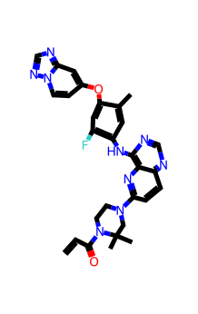 C=CC(=O)N1CCN(c2ccc3ncnc(Nc4cc(C)c(Oc5ccn6ncnc6c5)cc4F)c3n2)CC1(C)C